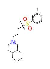 Cc1cccc(S(=O)(=O)C(C)(C)CCCN2CCC3CCCCC3C2)c1